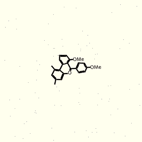 COc1ccc(C(=O)c2c(OC)c[c]cc2-c2c(C)cc(C)cc2C)cc1